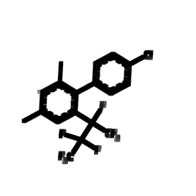 Cc1[c]c(C)c(-c2ccc(Cl)cc2)c(C(F)(C(F)(F)F)C(F)(F)C(F)(F)F)c1